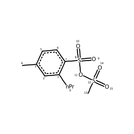 CCCc1cc(C)ccc1S(=O)(=O)OS(C)(=O)=O